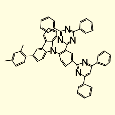 Cc1ccc(-c2ccc3c(c2)c2ccccc2n3-c2ccc(-c3nc(-c4ccccc4)cc(-c4ccccc4)n3)cc2-c2nc(-c3ccccc3)nc(-c3ccccc3)n2)c(C)c1